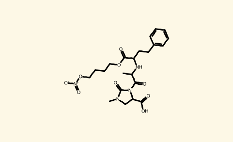 CC(NC(CCc1ccccc1)C(=O)OCCCCO[N+](=O)[O-])C(=O)N1C(=O)N(C)CC1C(=O)O